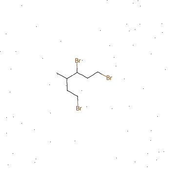 CC(CCBr)C(Br)CCBr